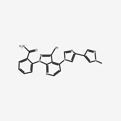 CC(C)c1nn(-c2ccccc2C(N)=O)c2nccc(-n3cnc(-c4cnn(C)c4)c3)c12